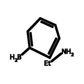 Bc1ccccc1.CCN